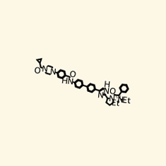 CCN(CC)[C@H](C(=O)N1CCCC1c1nc(-c2ccc(-c3ccc(NC(=O)c4ccc(N5CCN(C(=O)C6CC6)CC5)cc4)cc3)cc2)c[nH]1)c1ccccc1